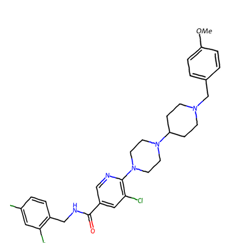 COc1ccc(CN2CCC(N3CCN(c4ncc(C(=O)NCc5ccc(F)cc5F)cc4Cl)CC3)CC2)cc1